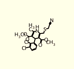 COC(=O)C1=C(C)NC(CSCC#N)=C(C(=O)OC)C1c1cccc(Cl)c1Cl